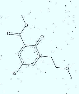 COCCn1cc(Br)cc(C(=O)OC)c1=O